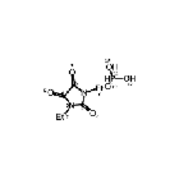 CCN1C(=O)C(=O)N(CC)C1=O.O=[PH](O)O